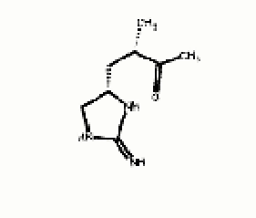 CC(=O)[C@@H](C)C[C@H]1CNC(=N)N1